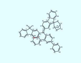 CC1(C)c2ccccc2-c2ccc(N(c3ccc4c(c3)C3(CC5CCC3C5)c3ccccc3-4)c3ccc(-c4ccccc4)cc3-c3ccccc3)cc21